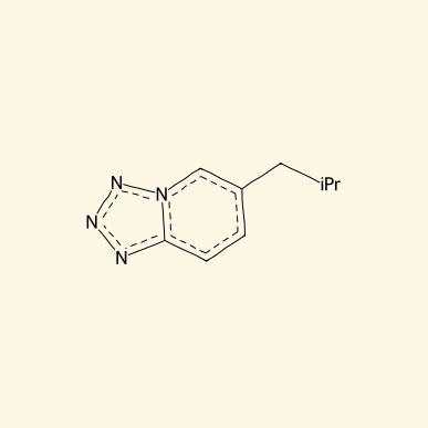 CC(C)Cc1ccc2nnnn2c1